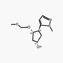 COCO[C@H]1C[C@@H](O)C[C@@H]1c1ccnn1C